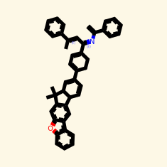 C=C(/N=C(\C=C(/C)c1ccccc1)C1=CC=C(C2=CC3C(C=C2)c2cc4c(cc2C3(C)C)oc2ccccc24)CC1)c1ccccc1